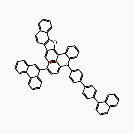 c1ccc(N(c2ccc(-c3ccc(-c4cccc5ccccc45)cc3)cc2)c2ccc(-c3cc4ccccc4c4ccccc34)cc2)c(-c2cccc3c2oc2c4ccccc4ccc32)c1